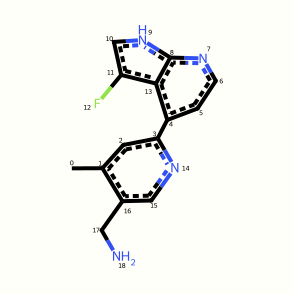 Cc1cc(-c2ccnc3[nH]cc(F)c23)ncc1CN